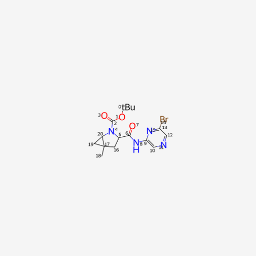 CC(C)(C)OC(=O)N1C(C(=O)Nc2cncc(Br)n2)CC2(C)CC12